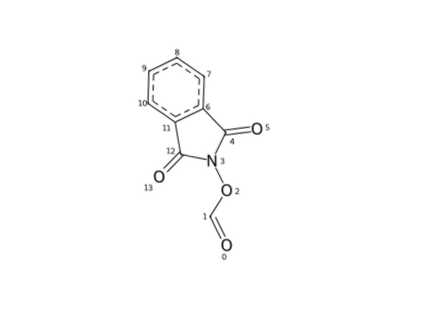 O=CON1C(=O)c2ccccc2C1=O